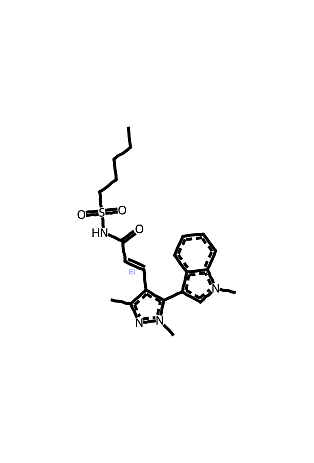 CCCCCS(=O)(=O)NC(=O)/C=C/c1c(C)nn(C)c1-c1cn(C)c2ccccc12